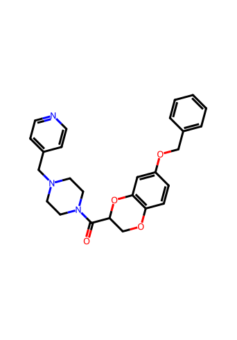 O=C(C1COc2ccc(OCc3ccccc3)cc2O1)N1CCN(Cc2ccncc2)CC1